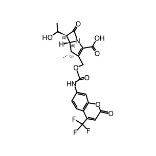 CC(O)[C@H]1C(=O)N2C(C(=O)O)=C(COC(=O)Nc3ccc4c(C(F)(F)F)cc(=O)oc4c3)[C@H](C)[C@H]12